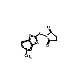 Cc1ccc2sc(SN3C(=O)CCC3=O)nc2c1